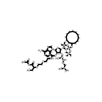 CC(=O)CC(OCCOCCNC(=O)O[C@@H]1[C@H](OP(O)NOCN(C(C)C)C(C)C)[C@@H](CO[Si](OC2CCCCCCCCCCC2)(O[Si](C)(C)C)O[Si](C)(C)C)O[C@H]1n1cnc2c(N)ncnc21)C(=O)OC(=O)C(C)C